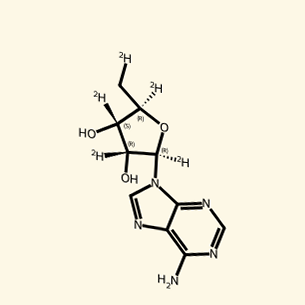 [2H]C[C@@]1([2H])O[C@@]([2H])(n2cnc3c(N)ncnc32)[C@]([2H])(O)[C@]1([2H])O